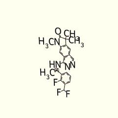 C[C@@H](Nc1nncc2cc3c(cc12)N(C)C(=O)C3(C)C)c1cccc(C(F)F)c1F